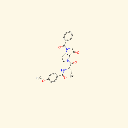 CC(C)C[C@H](NC(=O)c1ccc(OC(F)(F)F)cc1)C(=O)N1CCC2C1C(=O)CN2C(=O)c1ccccc1